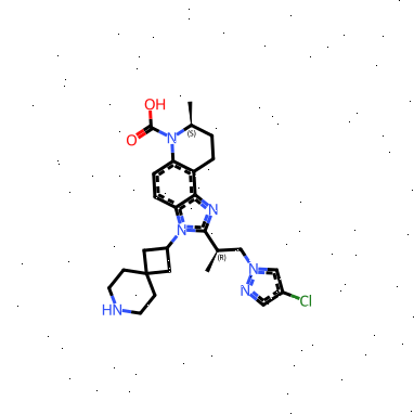 C[C@H](Cn1cc(Cl)cn1)c1nc2c3c(ccc2n1C1CC2(CCNCC2)C1)N(C(=O)O)[C@@H](C)CC3